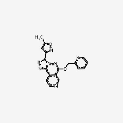 Cc1cc(-c2nnc3c4ccncc4c(OCc4ccccn4)nn23)no1